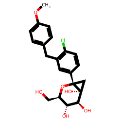 COc1ccc(Cc2cc([C@@]34C[C@@]3(O)[C@@H](O)[C@H](O)[C@@H](CO)O4)ccc2Cl)cc1